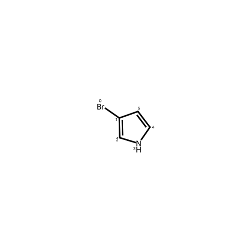 Brc1[c][nH]cc1